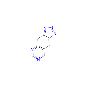 C1=C2N=NN=C2Cc2ncncc21